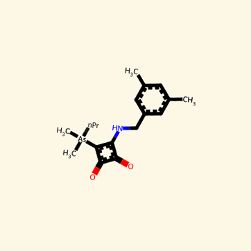 CCC[As](C)(C)c1c(NCc2cc(C)cc(C)c2)c(=O)c1=O